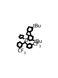 CC(C)(C)c1ccc2c(c1)-c1cc(C(C)(C)C)c[c]([Zr]([C]3=CC=CC3)=[C](c3cccc(C(F)(F)F)c3)c3cccc(C(F)(F)F)c3)c1C2